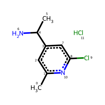 Cc1cc(C(C)N)cc(Cl)n1.Cl